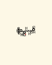 COC(=O)c1ccc(-c2cccc(NCCNC[C@H](O)c3cccc(Cl)c3)c2)cc1C(=O)OC.Cl.Cl